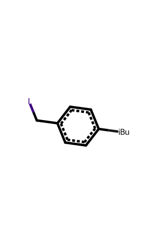 CCC(C)c1ccc(CI)cc1